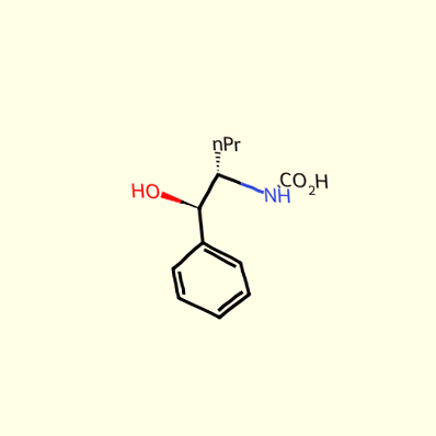 CCC[C@H](NC(=O)O)[C@H](O)c1ccccc1